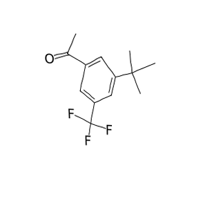 CC(=O)c1cc(C(C)(C)C)cc(C(F)(F)F)c1